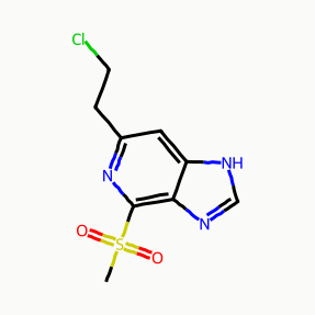 CS(=O)(=O)c1nc(CCCl)cc2[nH]cnc12